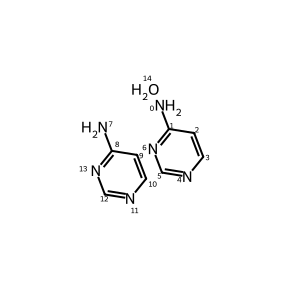 Nc1ccncn1.Nc1ccncn1.O